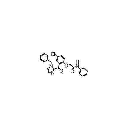 O=C(COc1ccc(Cl)cc1C(=O)c1nccn1Cc1ccccc1)Nc1ccccc1